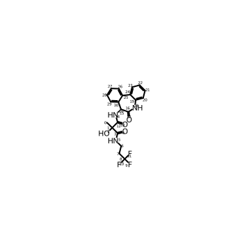 CC(O)(C(=O)NCCC(F)(F)F)C(=O)N[C@@H]1C(=O)Nc2ccccc2-c2ccccc21